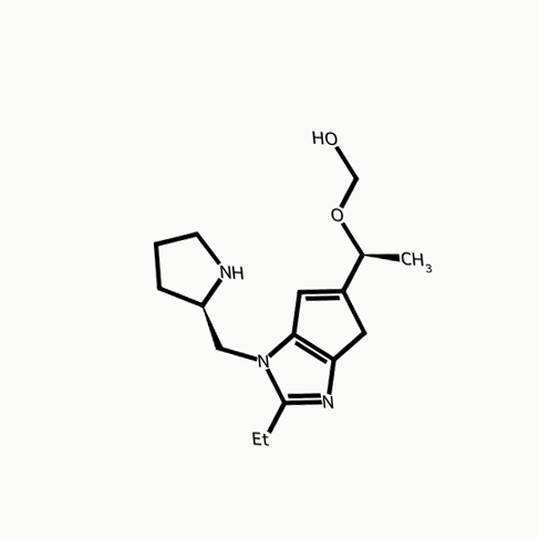 CCc1nc2c(n1C[C@H]1CCCN1)C=C([C@H](C)OCO)C2